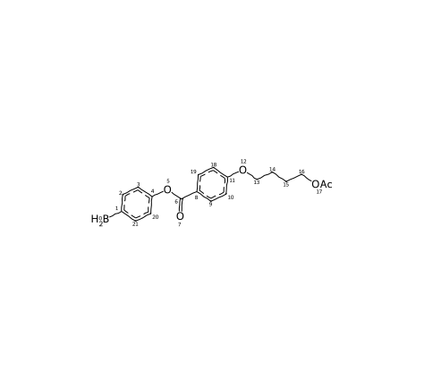 Bc1ccc(OC(=O)c2ccc(OCCCCOC(C)=O)cc2)cc1